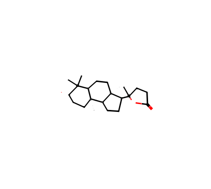 CC1(C2CCC3[C@@]2(C)CCC2C(C)(C)[C@@H](O)CC[C@@]23C)CCC(=O)O1